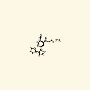 COCCNc1cc(-n2nccc2C2OCCO2)ncc1C#N